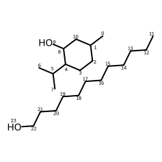 CC1CCC(C(C)C)C(O)C1.CCCCCCCCCCCCO